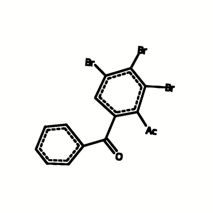 CC(=O)c1c(C(=O)c2ccccc2)cc(Br)c(Br)c1Br